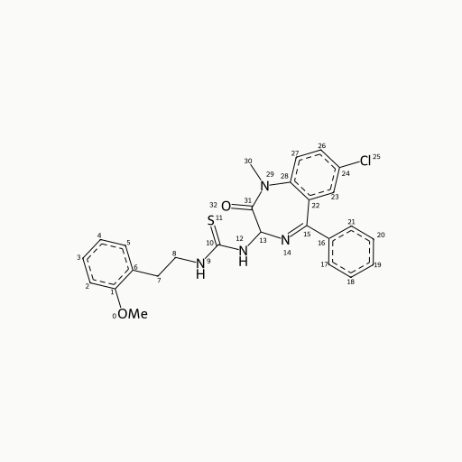 COc1ccccc1CCNC(=S)NC1N=C(c2ccccc2)c2cc(Cl)ccc2N(C)C1=O